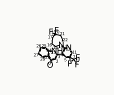 O=c1cc(-c2cc(C(F)(F)F)cnc2N2CCCC(F)(F)CC2)[nH]c2ccccc12